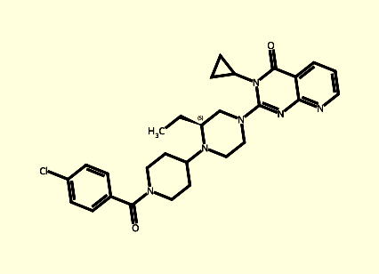 CC[C@H]1CN(c2nc3ncccc3c(=O)n2C2CC2)CCN1C1CCN(C(=O)c2ccc(Cl)cc2)CC1